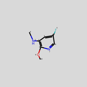 CNc1cc(F)cnc1OC